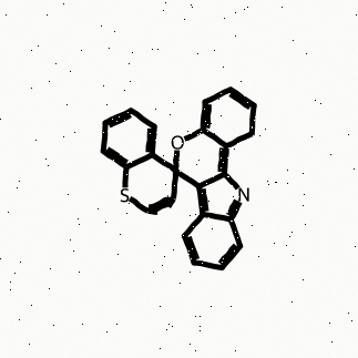 C1=CCC2=C3N=c4ccccc4=C3C3(OC2=C1)c1ccccc1Sc1ccccc13